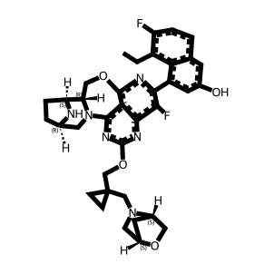 CCc1c(F)ccc2cc(O)cc(-c3nc4c5c(nc(OCC6(CN7C[C@@H]8C[C@H]7CO8)CC6)nc5c3F)N3C[C@H]5CC[C@H](N5)[C@@H]3CO4)c12